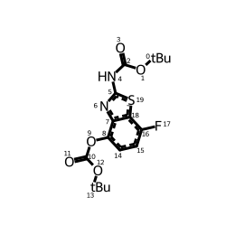 CC(C)(C)OC(=O)Nc1nc2c(OC(=O)OC(C)(C)C)ccc(F)c2s1